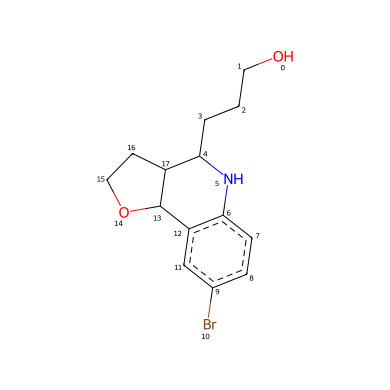 OCCCC1Nc2ccc(Br)cc2C2OCCC12